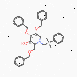 C[Si](C)(CN1C[C@H](OCc2ccccc2)[C@@H](OCc2ccccc2)[C@H](O)C1COCc1ccccc1)c1ccccc1